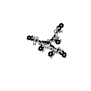 CN(Cc1cccc(F)c1F)[C@H](COC(=O)Nc1cc2ccccc2cn1)C[C@@H](O)COP(=O)(OC[C@H](O)C[C@@H](COC(=O)Nc1cc2ccccc2cn1)N(C)Cc1cccc(F)c1F)OC[C@H](O)C[C@@H](COC(=O)Nc1cc2ccccc2cn1)N(C)Cc1cccc(F)c1F